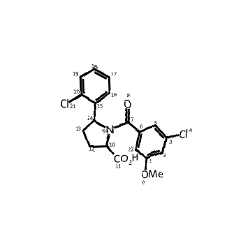 COc1cc(Cl)cc(C(=O)N2C(C(=O)O)CCC2c2ccccc2Cl)c1